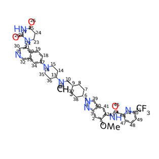 COc1cc2nn([C@H]3CC[C@H](CN(C)C4CCN(c5ccc6c(N7CCC(=O)NC7=O)cncc6c5)CC4)CC3)cc2cc1NC(=O)c1cccc(C(F)(F)F)n1